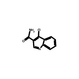 NC(=O)c1cnc2ccccc2c1Cl